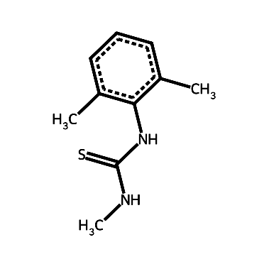 CNC(=S)Nc1c(C)cccc1C